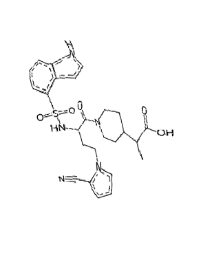 CC(C(=O)O)C1CCN(C(=O)C(CCn2cccc2C#N)NS(=O)(=O)c2cccc3[nH]ccc23)CC1